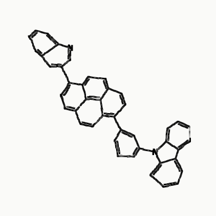 c1cc(-c2ccc3ccc4c(-c5cnc6ccccc6c5)ccc5ccc2c3c54)cc(-n2c3ccccc3c3ccccc32)c1